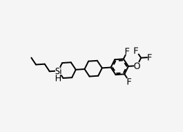 CCCC[SiH]1CCC(C2CCC(c3cc(F)c(OC(F)F)c(F)c3)CC2)CC1